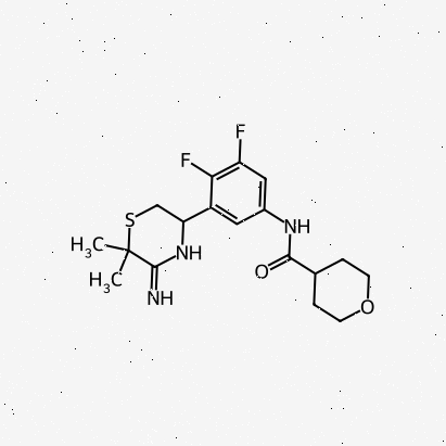 CC1(C)SCC(c2cc(NC(=O)C3CCOCC3)cc(F)c2F)NC1=N